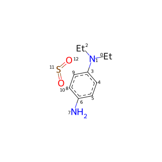 CCN(CC)c1ccc(N)cc1.O=S=O